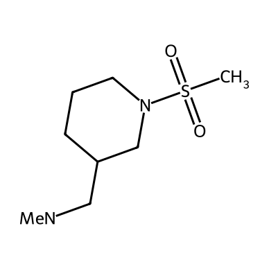 CNCC1CCCN(S(C)(=O)=O)C1